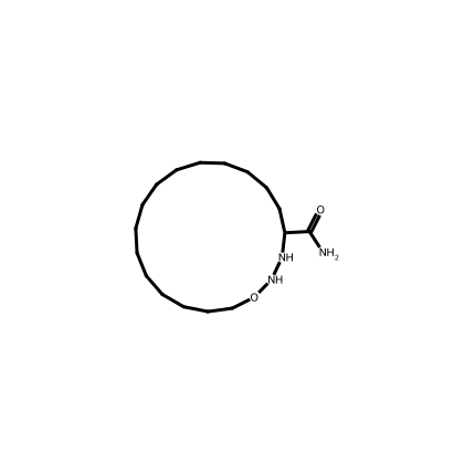 NC(=O)C1CCCCCCCCCCCCCCCONN1